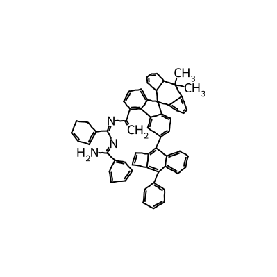 C=C(/N=C(\N=C(/N)c1ccccc1)C1=CC=CCC1)c1cccc2c1-c1cc(-c3c4c(c(-c5ccccc5)c5ccccc35)C=C4)ccc1C21c2ccccc2C(C)(C)C2C=CC=CC21